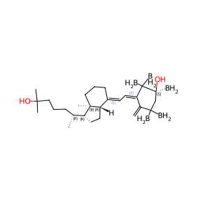 BC1(B)C[C@](B)(O)C(B)(B)/C(=C/C=C2\CCC[C@]3(C)[C@@H]([C@H](C)CCCC(C)(C)O)CC[C@@H]23)C1=C